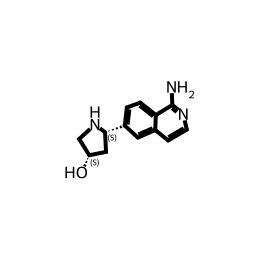 Nc1nccc2cc([C@@H]3C[C@H](O)CN3)ccc12